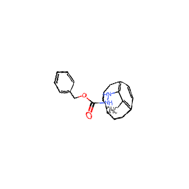 O=Cc1c2ccc(c1NNC(=O)OCc1ccccc1)CCCCCC2